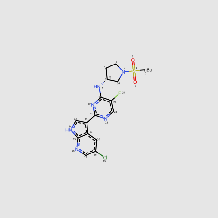 CCCCS(=O)(=O)N1CC[C@@H](Nc2nc(-c3c[nH]c4ncc(Cl)cc34)ncc2F)C1